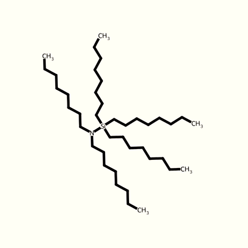 CCCCCCCCN(CCCCCCCC)[Si](CCCCCCCC)(CCCCCCCC)CCCCCCCC